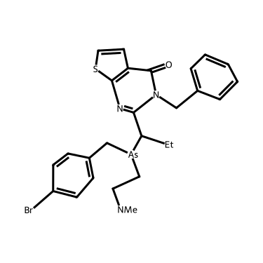 CCC(c1nc2sccc2c(=O)n1Cc1ccccc1)[As](CCNC)Cc1ccc(Br)cc1